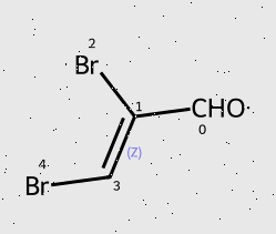 O=[C]/C(Br)=C/Br